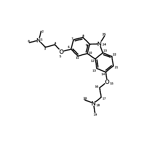 CN(C)CCOc1ccc2c(c1)c1cc(OCCN(C)C)ccc1n2C